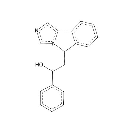 OC(CC1c2ccccc2-c2cncn21)c1ccccc1